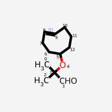 CC(C)(C=O)OC1CC/C=C/CCC1